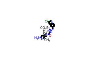 CCOC(=O)c1nc(C(=O)NCc2c(C)cc(N)nc2C)nn1Cc1ccc2ncc(Cl)cc2c1